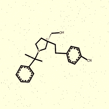 CC(C)(c1ccccc1)N1CC[C@@](CO)(CCc2ccc(C#N)cc2)C1